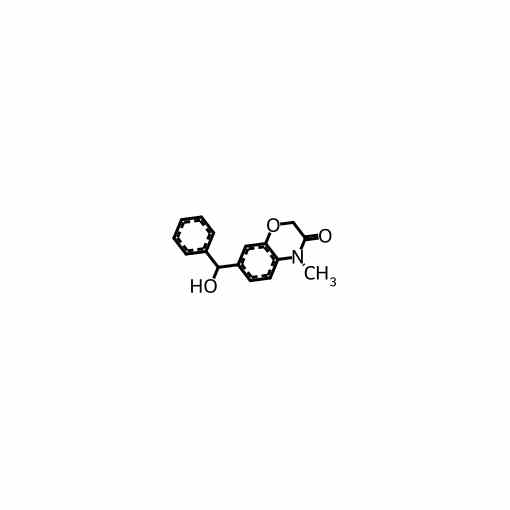 CN1C(=O)COc2cc(C(O)c3ccccc3)ccc21